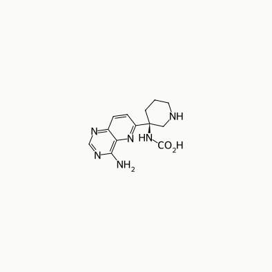 Nc1ncnc2ccc([C@]3(NC(=O)O)CCCNC3)nc12